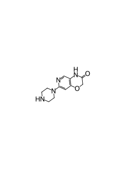 O=C1COc2cc(N3CCNCC3)ncc2N1